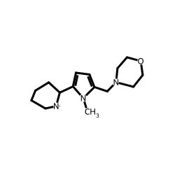 Cn1c(CN2CCOCC2)ccc1C1CCCC[N]1